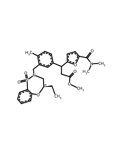 CC[C@@H]1CN(Cc2cc(C(CC(=O)OC)c3ccc(C(=O)N(C)C)o3)ccc2C)S(=O)(=O)c2ccccc2O1